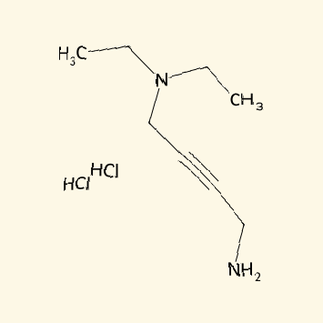 CCN(CC)CC#CCN.Cl.Cl